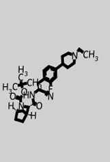 CCN1CCC(c2ccc(C[C@@H](C#N)NC(=O)[C@@H]3[C@H]4CC[C@H](C4)N3C(=O)OC(C)(C)C)c(F)c2)CC1